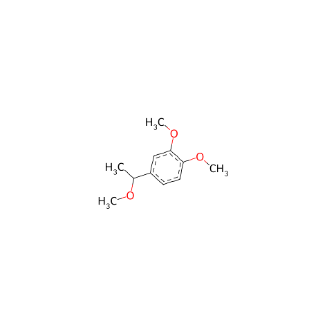 COc1ccc(C(C)OC)cc1OC